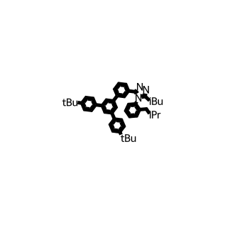 CCC(C)c1nnc(-c2cccc(-c3cc(-c4ccc(C(C)(C)C)cc4)cc(-c4ccc(C(C)(C)C)cc4)c3)c2)n1-c1ccccc1CC(C)C